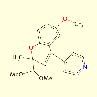 COC(OC)C1(C)C=C(c2ccncc2)c2cc(OC(F)(F)F)ccc2O1